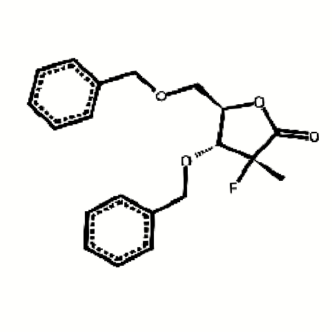 C[C@]1(F)C(=O)O[C@H](COCc2ccccc2)[C@H]1OCc1ccccc1